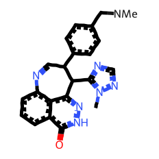 CNCc1ccc(C2C=Nc3cccc4c(=O)[nH]nc(c34)C2c2ncnn2C)cc1